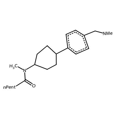 CCCCCC(=O)N(C)C1CCC(c2ccc(CNC)cc2)CC1